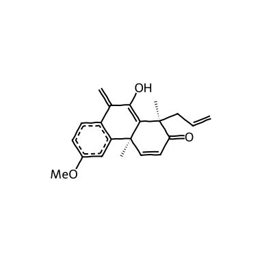 C=CC[C@@]1(C)C(=O)C=C[C@]2(C)C1=C(O)C(=C)c1ccc(OC)cc12